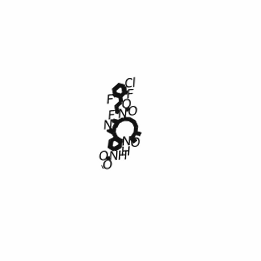 COC(=O)Nc1ccc2c(c1)NC(=O)C(C)CCCC(N1CCC(c3c(F)ccc(Cl)c3F)OC1=O)c1cc-2cnc1F